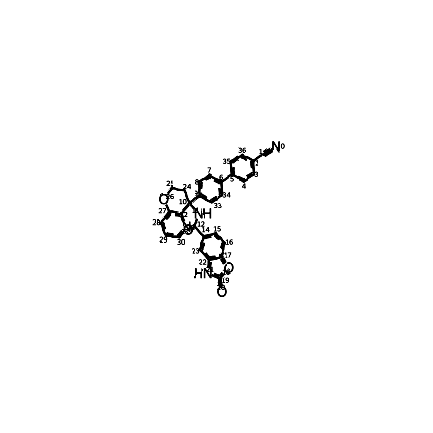 N#Cc1ccc(-c2ccc(C3(NC(=O)c4ccc5oc(=O)[nH]c5c4)CCOc4cccnc43)cc2)cc1